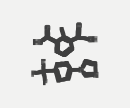 Cc1c(C(=O)O)cccc1C(=O)O.FC(F)(F)c1ccc(-n2ccnc2)cc1